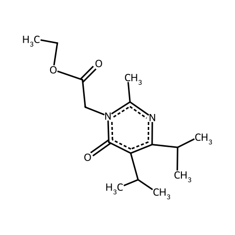 CCOC(=O)Cn1c(C)nc(C(C)C)c(C(C)C)c1=O